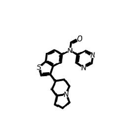 O=CN(c1cncnc1)c1ccc2scc(C3CCN4CCCC4C3)c2c1